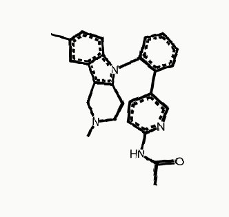 CC(=O)Nc1ccc(-c2ccccc2-n2c3c(c4cc(C)ccc42)CN(C)CC3)cn1